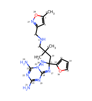 Cc1cc(CNCC(C)(C)CC2(c3ccco3)N=C3N=C(N)N=C(N)N3N2)no1